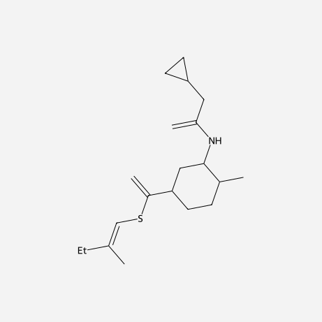 C=C(CC1CC1)NC1CC(C(=C)S/C=C(\C)CC)CCC1C